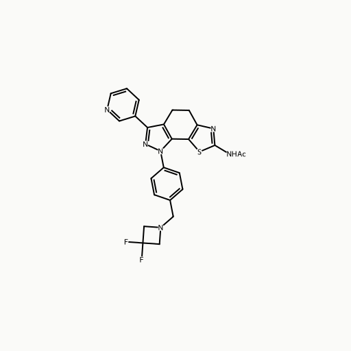 CC(=O)Nc1nc2c(s1)-c1c(c(-c3cccnc3)nn1-c1ccc(CN3CC(F)(F)C3)cc1)CC2